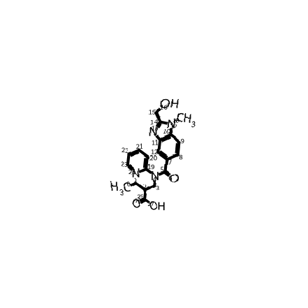 CCC(CN(C(=O)c1ccc2c(c1)nc(CO)n2C)c1ccccn1)C(=O)O